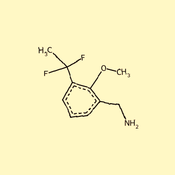 COc1c(CN)cccc1C(C)(F)F